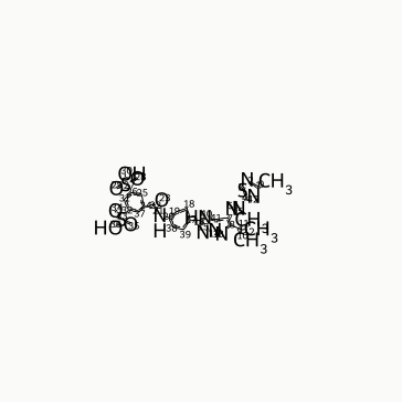 Cc1nsc(N=Nc2c(C(C)(C)C)nn3nc(-c4ccc(NC(=O)c5cc(S(=O)(=O)O)cc(S(=O)(=O)O)c5)cc4)[nH]c23)n1